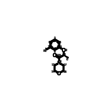 C[C@H](Oc1cccc(I)c1)C(=O)N1CCOCC1